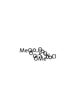 COC(=O)CCC(=S)C1c2cc(OCc3ccc4ccc(Cl)cc4n3)ccc2OCC1Cc1cccc(C(=O)OC)c1